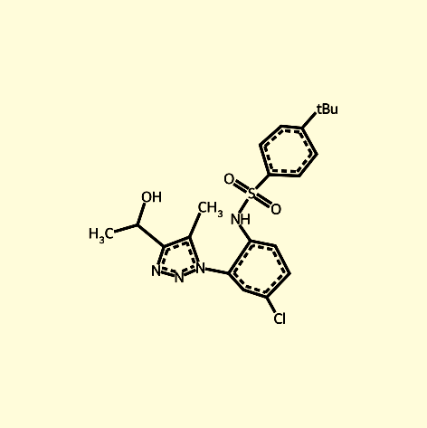 Cc1c(C(C)O)nnn1-c1cc(Cl)ccc1NS(=O)(=O)c1ccc(C(C)(C)C)cc1